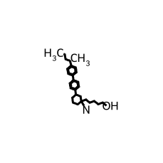 CCCC(C)c1ccc(-c2ccc(C3CCCC(C#N)(CCCCCO)C3)cc2)cc1